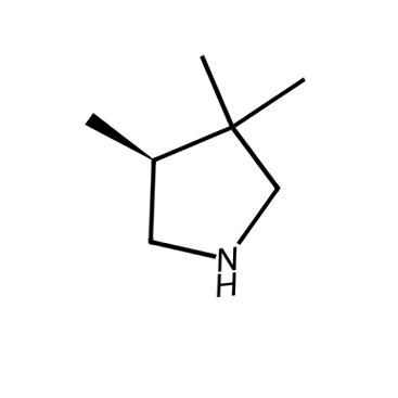 C[C@@H]1CNCC1(C)C